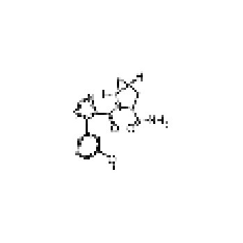 COc1cccc(-c2scnc2C(=O)N2[C@H](C(N)=O)C[C@H]3C[C@@H]32)c1